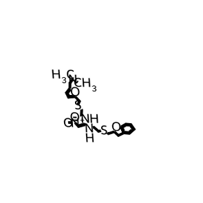 CN(C)Cc1ccc(CSCCNC(=C[N+](=O)[O-])NCCSCC2Cc3ccccc3O2)o1